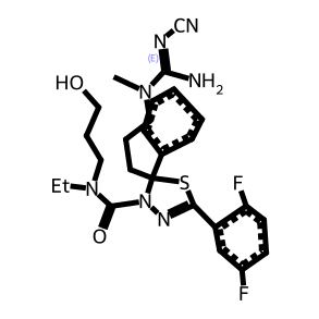 CCN(CCCO)C(=O)N1N=C(c2cc(F)ccc2F)SC1(CCCN(C)/C(N)=N/C#N)c1ccccc1